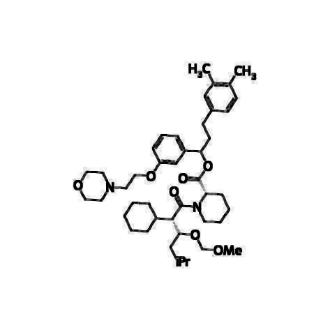 COCOC(CC(C)C)[C@@H](C(=O)N1CCCC[C@H]1C(=O)OC(CCc1ccc(C)c(C)c1)c1cccc(OCCN2CCOCC2)c1)C1CCCCC1